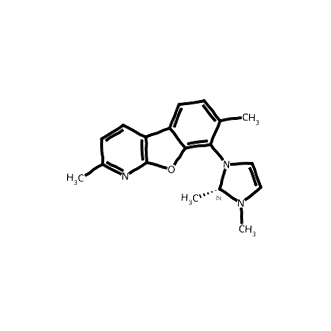 Cc1ccc2c(n1)oc1c(N3C=CN(C)[C@@H]3C)c(C)ccc12